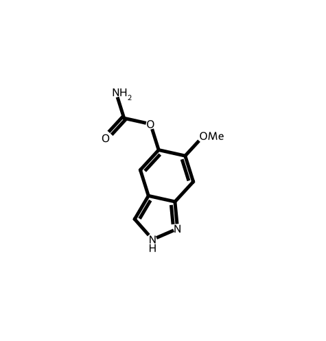 COc1cc2n[nH]cc2cc1OC(N)=O